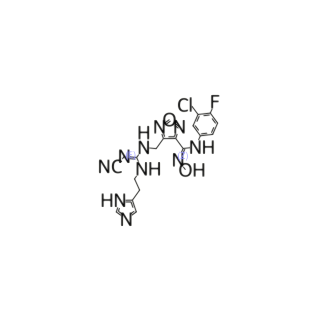 N#C/N=C(\NCCc1cnc[nH]1)NCc1nonc1/C(=N/O)Nc1ccc(F)c(Cl)c1